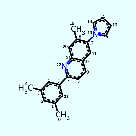 Cc1cc(C)cc(-c2ccc3cc(-n4cccc4)c(C)cc3n2)c1